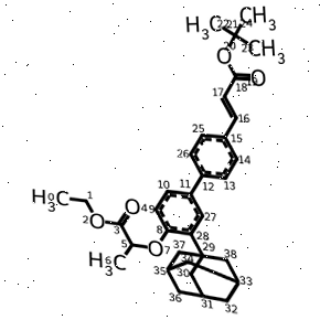 CCOC(=O)C(C)Oc1ccc(-c2ccc(/C=C/C(=O)OC(C)(C)C)cc2)cc1C12CC3CC(CC(C3)C1)C2